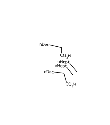 CCCCCCCC.CCCCCCCC.CCCCCCCCCCCC(=O)O.CCCCCCCCCCCC(=O)O